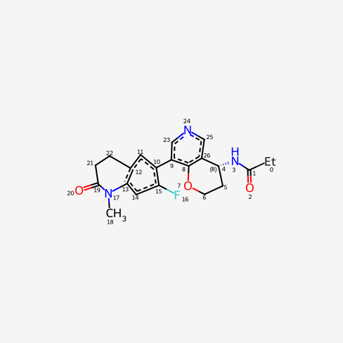 CCC(=O)N[C@@H]1CCOc2c(-c3cc4c(cc3F)N(C)C(=O)CC4)cncc21